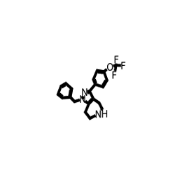 FC(F)(F)Oc1ccc(-c2nn(Cc3ccccc3)c3c2CCNCC3)cc1